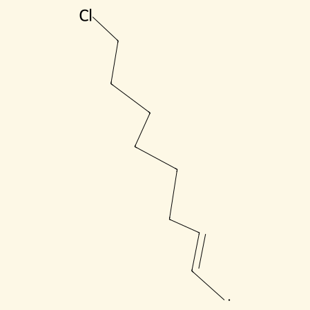 [CH2]C=CCCCCCCCl